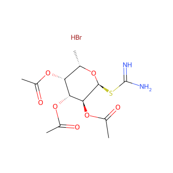 Br.CC(=O)O[C@@H]1[C@H](OC(C)=O)[C@H](C)O[C@@H](SC(=N)N)[C@H]1OC(C)=O